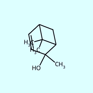 CC1(O)C=CC2CC1C2(C)C